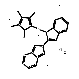 CC1=C(C)C(C)[C]([Zr+2][CH]2C(n3cc4ccccc4c3)=Cc3ccccc32)=C1C.[Cl-].[Cl-]